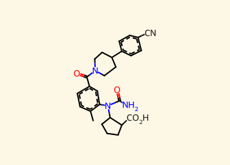 Cc1ccc(C(=O)N2CCC(c3ccc(C#N)cc3)CC2)cc1N(C(N)=O)C1CCCC1C(=O)O